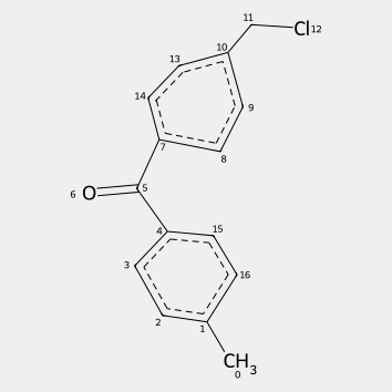 Cc1ccc(C(=O)c2ccc(CCl)cc2)cc1